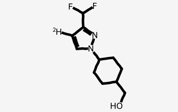 [2H]c1cn(C2CCC(CO)CC2)nc1C(F)F